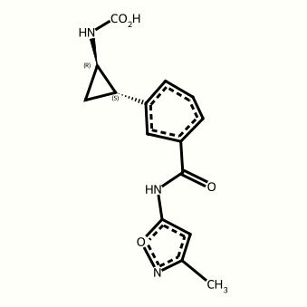 Cc1cc(NC(=O)c2cccc([C@@H]3C[C@H]3NC(=O)O)c2)on1